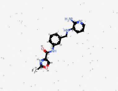 Nc1ncccc1NCc1cccc(NC(=O)c2coc(C(F)(F)F)n2)c1